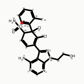 Nc1ncnc2c1c(C1=C(Cl)C(Cl)(c3ccccc3F)C(S(N)(=O)=O)C=C1)nn2CCO